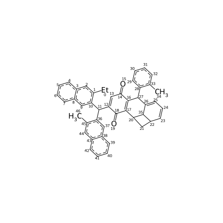 CCc1cc2ccccc2cc1C(C1=CC(=O)C2=C(C1=O)C1CC3C=CC=C(C2c2ccccc2C)C31)c1cc2ccccc2cc1C